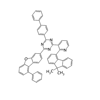 CC1(C)c2ccccc2-c2c(-c3ncccc3-c3nc(-c4ccc(-c5ccccc5)cc4)nc(-c4ccc5c(c4)oc4cccc(-c6ccccc6)c45)n3)cccc21